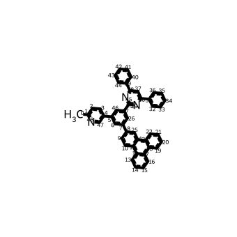 Cc1ccc(-c2cc(-c3ccc4c5ccccc5c5ccccc5c4c3)cc(-c3nc(-c4ccccc4)cc(-c4ccccc4)n3)c2)cn1